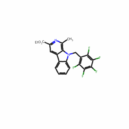 CCOC(=O)c1cc2c3ccccc3n(Cc3c(F)c(F)c(F)c(F)c3F)c2c(C)n1